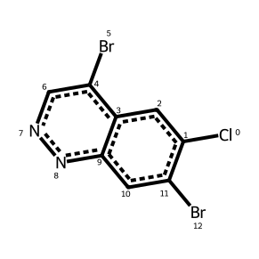 Clc1cc2c(Br)cnnc2cc1Br